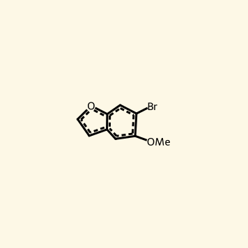 COc1cc2ccoc2cc1Br